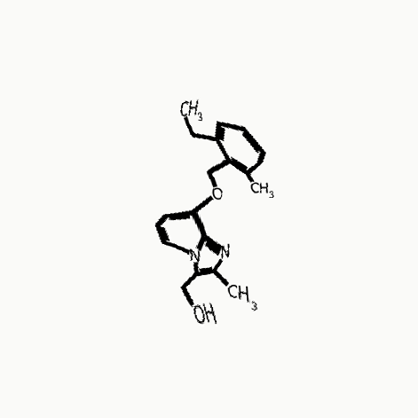 CCc1cccc(C)c1COc1cccn2c(CO)c(C)nc12